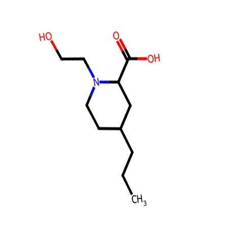 CCCC1CCN(CCO)C(C(=O)O)C1